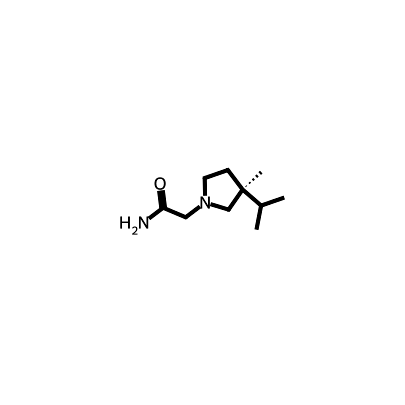 CC(C)[C@]1(C)CCN(CC(N)=O)C1